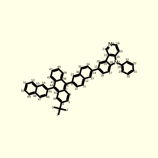 CC(C)(C)c1ccc2c(-c3ccc4cc(-c5ccc6c(c5)c5cnccc5n6-c5ccccc5)ccc4c3)c3ccccc3c(-c3ccc4ccccc4c3)c2c1